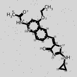 CCOc1cc(NC(C)=O)nc2ccc(C=C3SC(NC4CC4)=NC3=O)cc12